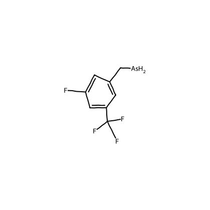 Fc1cc(C[AsH2])cc(C(F)(F)F)c1